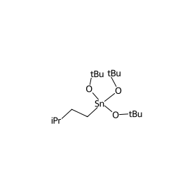 CC(C)C[CH2][Sn]([O]C(C)(C)C)([O]C(C)(C)C)[O]C(C)(C)C